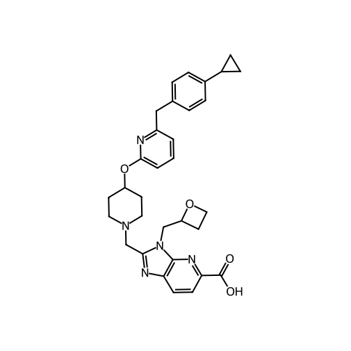 O=C(O)c1ccc2nc(CN3CCC(Oc4cccc(Cc5ccc(C6CC6)cc5)n4)CC3)n(CC3CCO3)c2n1